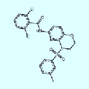 Cc1cccc(S(=O)(=O)N2CCOc3ccc(NC(=O)c4c(Cl)cccc4Cl)nc32)c1